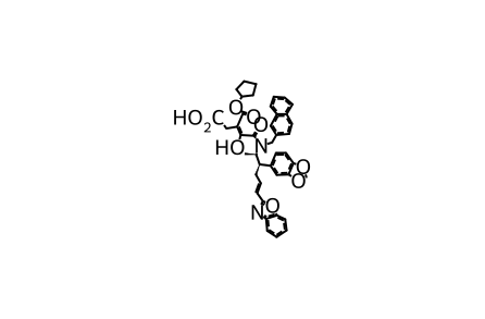 C[C@H]([C@H](C/C=C/c1nc2ccccc2o1)c1ccc2c(c1)OCO2)N(Cc1ccc2ccccc2c1)C(=O)C(O)=C(CC(=O)O)C(=O)OC1CCCC1